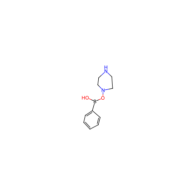 OB(ON1CCNCC1)c1ccccc1